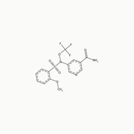 COc1ccccc1S(=O)(=O)N(OC(F)(F)F)c1cncc(C(N)=O)c1